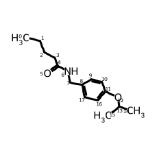 CCCCC(=O)NCc1ccc(OC(C)C)cc1